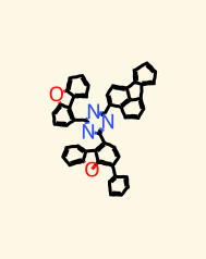 c1ccc(-c2ccc(-c3nc(-c4ccc5c6c(cccc46)-c4ccccc4-5)nc(-c4cccc5oc6ccccc6c45)n3)c3c2oc2ccccc23)cc1